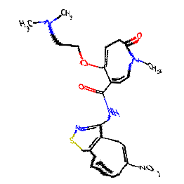 CN(C)CCOc1cc(=O)n(C)cc1C(=O)Nc1nsc2ccc([N+](=O)[O-])cc12